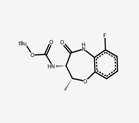 C[C@H]1Oc2cccc(F)c2NC(=O)[C@H]1NC(=O)OC(C)(C)C